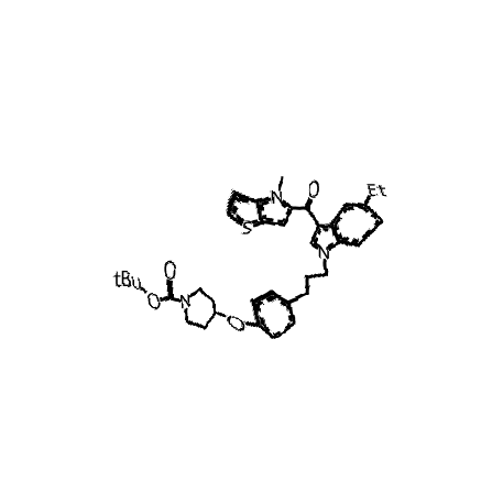 CCc1ccc2c(c1)c(C(=O)c1cc3sccc3n1C)cn2CCCc1ccc(OC2CCN(C(=O)OC(C)(C)C)CC2)cc1